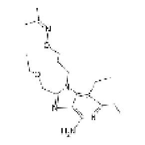 CCOCc1nc2c(N)nc(CC)c(CC)c2n1CCCON=C(C)C